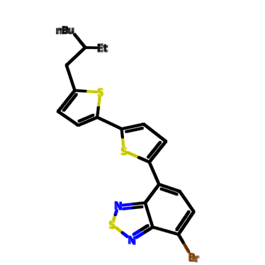 CCCCC(CC)Cc1ccc(-c2ccc(-c3ccc(Br)c4nsnc34)s2)s1